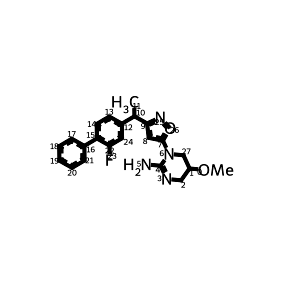 COC1CN=C(N)N(c2cc(C(C)c3ccc(-c4ccccc4)c(F)c3)no2)C1